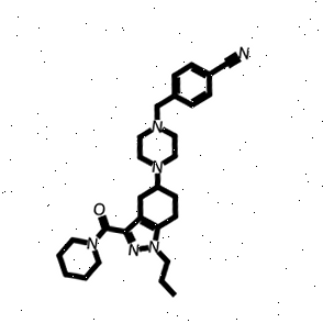 CCCn1nc(C(=O)N2CCCCC2)c2c1CCC(N1CCN(Cc3ccc(C#N)cc3)CC1)C2